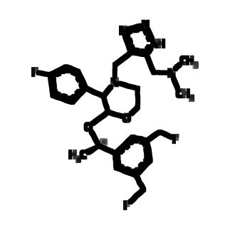 C[C@@H](OC1OCCN(Cc2nn[nH]c2CN(C)C)C1c1ccc(F)cc1)c1cc(CF)cc(CF)c1